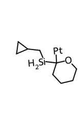 [Pt][C]1([SiH2]CC2CC2)CCCCO1